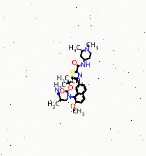 C=C(C#N)CN(C(=O)OC(C)(C)C)c1c(OC)ccc2ccc(-c3csc(C(=O)N[C@@H]4CCN(C)[C@@H](C)C4)n3)cc12